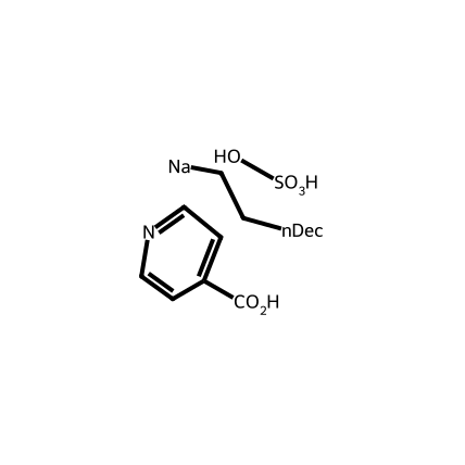 CCCCCCCCCCC[CH2][Na].O=C(O)c1ccncc1.O=S(=O)(O)O